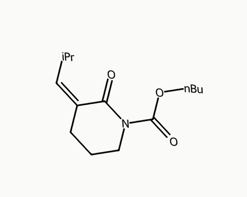 CCCCOC(=O)N1CCCC(=CC(C)C)C1=O